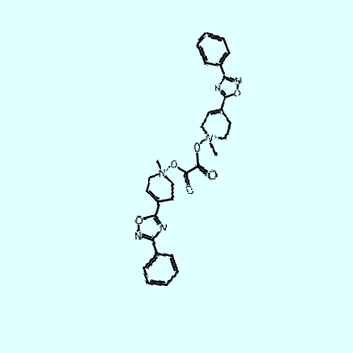 C[N+]1(OC(=O)C(=O)O[N+]2(C)CC=C(c3nc(-c4ccccc4)no3)CC2)CC=C(c2nc(-c3ccccc3)no2)CC1